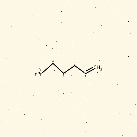 C=CC[CH]CCCC